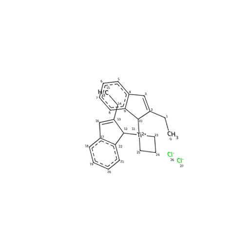 CCC1=Cc2ccccc2[CH]1[Ti+2]1([CH]2C(CC)=Cc3ccccc32)[CH2]C[CH2]1.[Cl-].[Cl-]